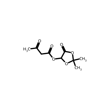 CC(=O)CC(=O)OC1OC(C)(C)OC1=O